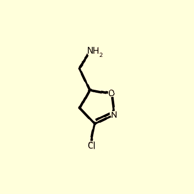 NCC1CC(Cl)=NO1